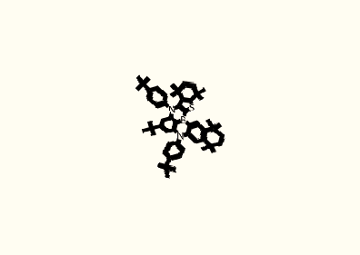 CC(C)(C)c1ccc(N2c3cc4c(cc3B3c5sc6c(c5N(c5ccc(C(C)(C)C)cc5)c5cc(C(C)(C)C)cc2c53)C(C)(C)CCC6(C)C)C(C)(C)CCC4(C)C)cc1